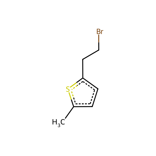 Cc1ccc(CCBr)s1